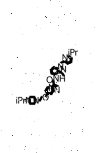 Cc1nn(Cc2cccc(C(C)C)n2)c2cccc(NC(=O)c3cnc4cc(OCCN5CCN(C(C)C)CC5)ccn34)c12